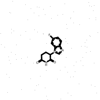 O=C1CCC(n2cnc3ccc(F)cc32)C(=O)N1